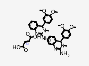 COc1ccc(C2c3ccccc3N=C(N)N2C)cc1OC.COc1ccc(C2c3ccccc3N=C(N)N2C)cc1OC.O=C(O)/C=C/C(=O)O